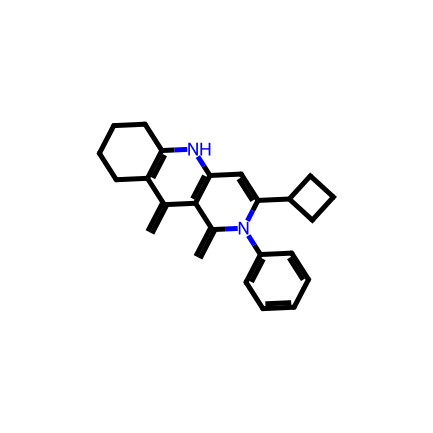 C=C1C2=C(CCCC2)NC2=C1C(=C)N(c1ccccc1)C(C1CCC1)=C2